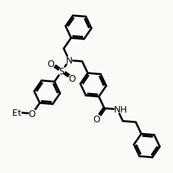 CCOc1ccc(S(=O)(=O)N(Cc2ccccc2)Cc2ccc(C(=O)NCCc3ccccc3)cc2)cc1